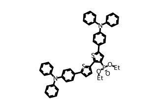 CCOP(=O)(OCC)c1cc(-c2ccc(N(c3ccccc3)c3ccccc3)cc2)sc1-c1ccc(-c2ccc(N(c3ccccc3)c3ccccc3)cc2)s1